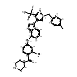 Cc1cnc(Cn2cc(-c3cnc4c(Nc5ccc(C(=O)C6CCOCC6)c(O)c5)nccn34)c(C(F)(F)F)n2)nc1